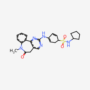 CN1C(=O)Cc2cnc(NC3=CCC(S(=O)(=O)NC4CCCC4)C=C3)nc2-c2ccccc21